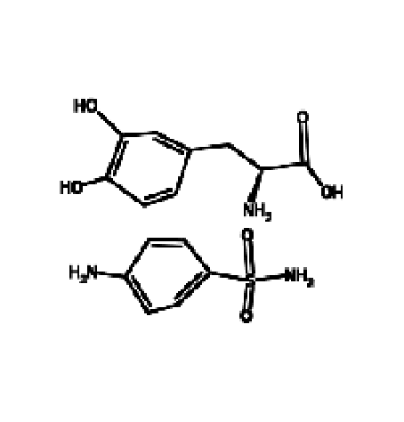 N[C@@H](Cc1ccc(O)c(O)c1)C(=O)O.Nc1ccc(S(N)(=O)=O)cc1